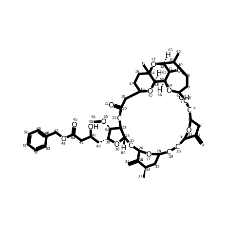 C=C1CC2CC[C@@]3(O)CC4OC5[C@@H](OC6(C)CCC(CC(=O)CC7[C@H](CC8OC(CCC1O2)C[C@@H](C)C8=C)O[C@H](CC(O)CC(=O)OCc1ccccc1)[C@@H]7OC)O[C@@H]6[C@@H]5O3)C4C